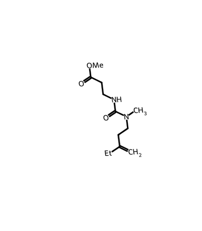 C=C(CC)CCN(C)C(=O)NCCC(=O)OC